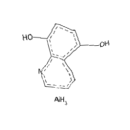 Oc1ccc(O)c2ncccc12.[AlH3]